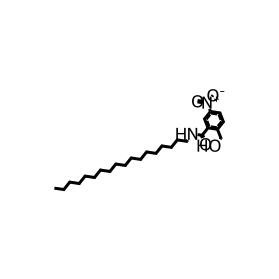 CCCCCCCCCCCCCCCCCCNC(=O)c1cc([N+](=O)[O-])ccc1CO